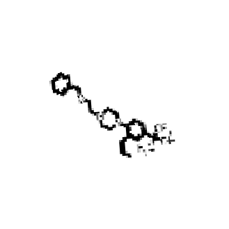 C/C=C\c1cc(C(O)(C(F)(F)F)C(F)(F)F)ccc1N1CCN(CCOCc2ccccc2)CC1